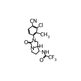 Cc1c(N2C[C@@H]3[C@H](NC(=O)C(F)(F)F)CCN3C2=O)ccc(C#N)c1Cl